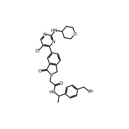 CC(C)Cc1ccc(C(C)NC(=O)CN2Cc3ccc(-c4nc(NC5CCOCC5)ncc4Cl)cc3C2=O)cc1